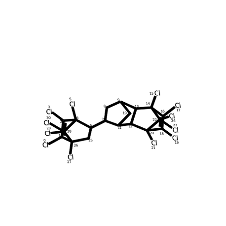 ClC1=C(Cl)C2(Cl)C(C3CC4CC3C3C4C4(Cl)C(Cl)=C(Cl)C3(Cl)C4(Cl)Cl)CC1(Cl)C2(Cl)Cl